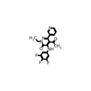 CCn1nc(-c2cccnc2)c(C(C)=O)c(Nc2cc(F)c(F)c(F)c2)c1=O